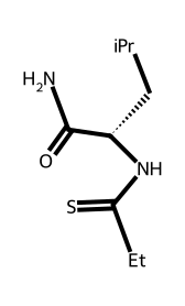 CCC(=S)N[C@@H](CC(C)C)C(N)=O